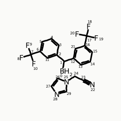 BC(c1cccc(C(F)(F)F)c1)c1cccc(C(F)(F)F)c1.N#CCn1ccnc1